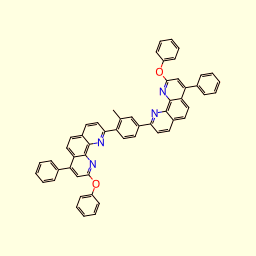 Cc1cc(-c2ccc3ccc4c(-c5ccccc5)cc(Oc5ccccc5)nc4c3n2)ccc1-c1ccc2ccc3c(-c4ccccc4)cc(Oc4ccccc4)nc3c2n1